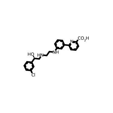 O=C(O)c1cccc(-c2cccc(NCCNC[C@H](O)c3cccc(Cl)c3)c2)n1